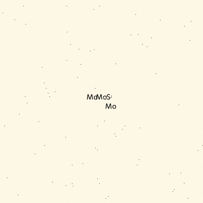 [Mo].[Mo].[Mo].[S]